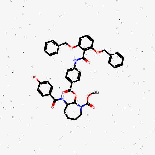 CC(C)(C)OC(=O)N1CCCCC(NC(=O)c2ccc(O)cc2)C1OC(=O)c1ccc(NC(=O)c2c(OCc3ccccc3)cccc2OCc2ccccc2)cc1